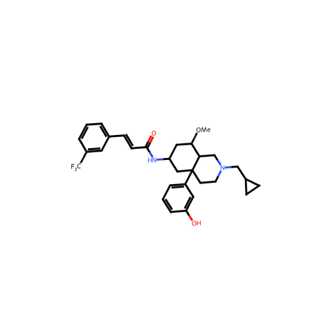 COC1CC(NC(=O)/C=C/c2cccc(C(F)(F)F)c2)CC2(c3cccc(O)c3)CCN(CC3CC3)CC12